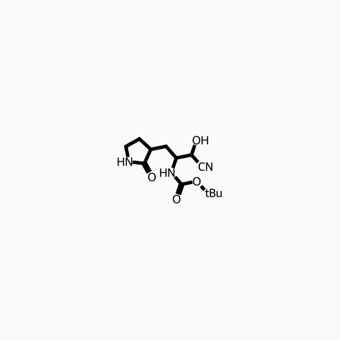 CC(C)(C)OC(=O)NC(CC1CCNC1=O)C(O)C#N